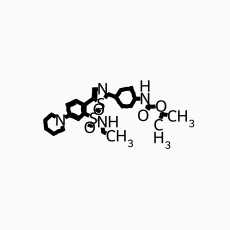 CCNS(=O)(=O)c1cc(N2CCCCC2)ccc1-c1cnc(C2CCC(NC(=O)OC(C)C)CC2)s1